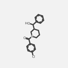 O=C(c1ccc(Cl)cc1)N1CCCC(C(O)c2ccccc2)C1